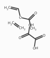 C=C.C=COC(C)=O.O=C(O)C(=O)O